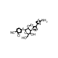 CCOC1C(n2cc(-c3csc(N)n3)nn2)[C@@H](O)C(CO)O[C@@H]1Sc1ccc(C#N)c(Cl)c1